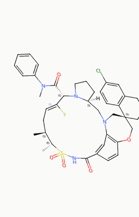 C[C@@H]1[C@@H](C)C/C=C(\F)[C@H](C(=O)N(C)c2ccccc2)N2CCC[C@H]2CN2C[C@@]3(CCCc4cc(Cl)ccc43)COc3ccc(cc32)C(=O)NS1(=O)=O